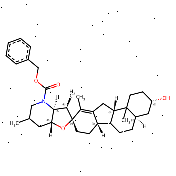 CC1=C2C[C@H]3C(CC[C@@H]4C[C@@H](O)CCC43C)[C@@H]2CC[C@]12O[C@@H]1CC(C)CN(C(=O)OCc3ccccc3)[C@H]1[C@H]2C